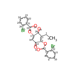 CCC1=C(OC(=O)c2ccccc2Br)C(=O)C=C(OC(=O)c2ccccc2Br)C1=O